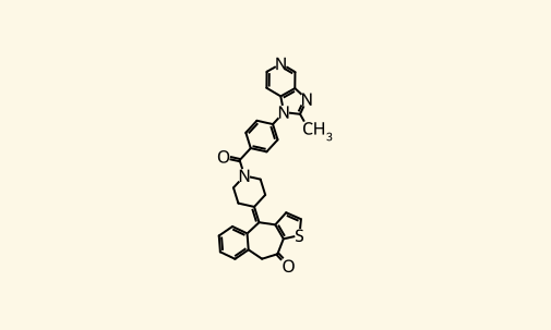 Cc1nc2cnccc2n1-c1ccc(C(=O)N2CCC(=C3c4ccccc4CC(=O)c4sccc43)CC2)cc1